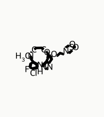 CN1CCCCCOc2cc3c(ncnc3cc2OCCCN2CCS(=O)(=O)CC2)Nc2cc(Cl)c(F)cc2C1